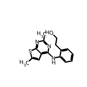 Cc1nc(Nc2ccccc2CCO)c2cc(C)sc2n1